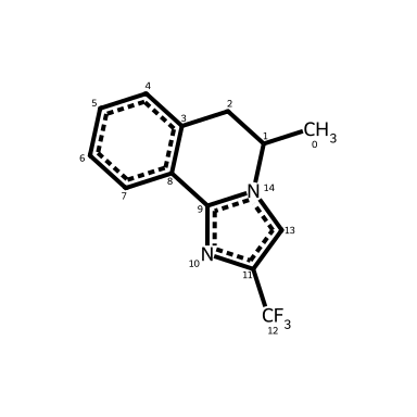 CC1Cc2ccccc2-c2nc(C(F)(F)F)cn21